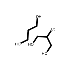 CCC(CO)CO.OCCCO